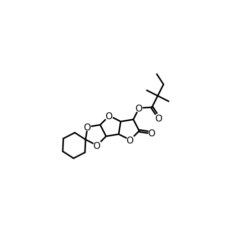 CCC(C)(C)C(=O)OC1C(=O)OC2C3OC4(CCCCC4)OC3OC12